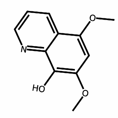 COc1cc(OC)c2cccnc2c1O